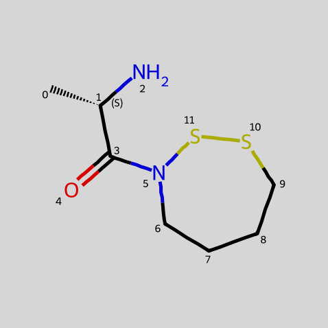 C[C@H](N)C(=O)N1CCCCSS1